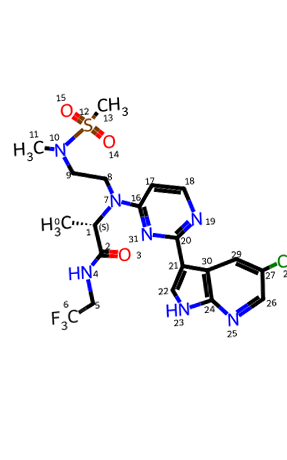 C[C@@H](C(=O)NCC(F)(F)F)N(CCN(C)S(C)(=O)=O)c1ccnc(-c2c[nH]c3ncc(Cl)cc23)n1